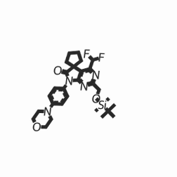 CC(C)(C)[Si](C)(C)OCc1nc(C(F)F)c2c(n1)N(c1ccc(N3CCOCC3)cc1)C(=O)C21CCCC1